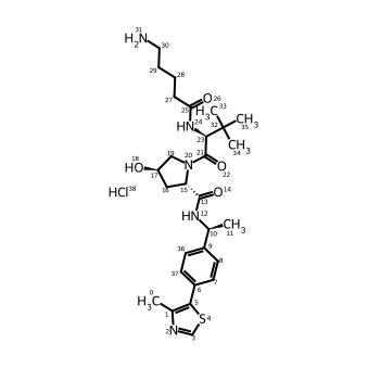 Cc1ncsc1-c1ccc([C@H](C)NC(=O)[C@@H]2C[C@@H](O)CN2C(=O)[C@@H](NC(=O)CCCCN)C(C)(C)C)cc1.Cl